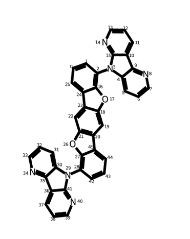 c1cc(-n2c3cccnc3c3cccnc32)c2oc3cc4c(cc3c2c1)oc1c(-n2c3cccnc3c3cccnc32)cccc14